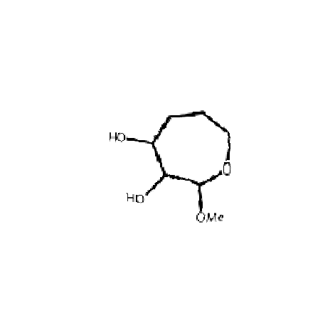 COC1OCCCC(O)C1O